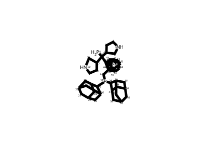 PC(C1CCNC1)(C1CCNC1)[C]12[CH]3[CH]4[CH]5[C]1(CP(C1C6CC7CC(C6)CC1C7)C1C6CC7CC(C6)CC1C7)[Fe]45321678[CH]2[CH]1[CH]6[CH]7[CH]28